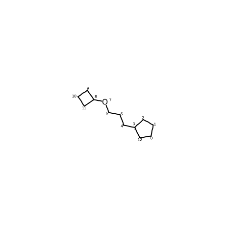 C1CC[C](CCCOC2CCC2)C1